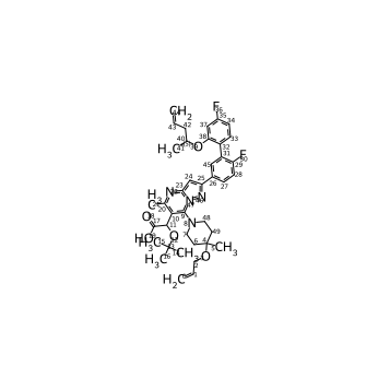 C=CCOC1(C)CCN(c2c(C(OC(C)(C)C)C(=O)O)c(C)nc3cc(-c4ccc(F)c(-c5ccc(F)cc5O[C@@H](C)CC=C)c4)nn23)CC1